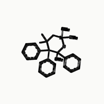 COC1(c2ccccc2)O[Si](OC)(OC)CC(C)(C)C1(c1ccccc1)c1ccccc1